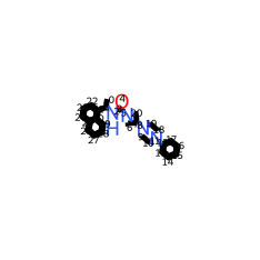 CC(NC(=O)N1CC(N2CCN(c3ccccc3)CC2)C1)c1cccc2ccccc12